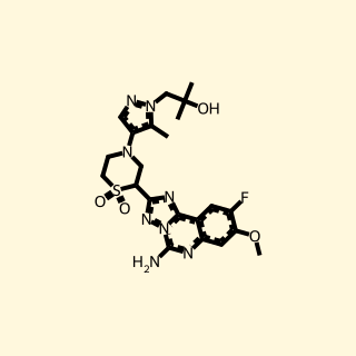 COc1cc2nc(N)n3nc(C4CN(c5cnn(CC(C)(C)O)c5C)CCS4(=O)=O)nc3c2cc1F